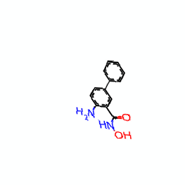 Nc1ccc(-c2ccccc2)cc1C(=O)NO